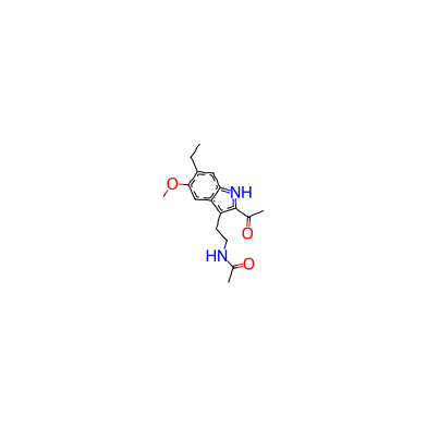 CCc1cc2[nH]c(C(C)=O)c(CCNC(C)=O)c2cc1OC